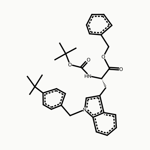 CC(C)(C)OC(=O)N[C@@H](Cc1cn(Cc2ccc(C(C)(C)C)cc2)c2ccccc12)C(=O)OCc1ccccc1